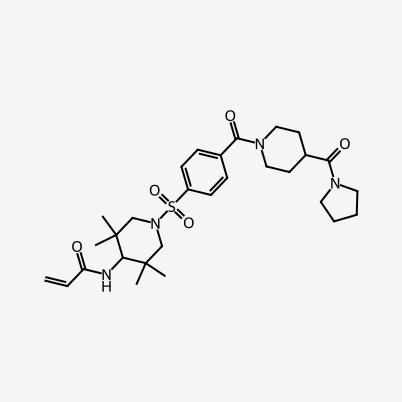 C=CC(=O)NC1C(C)(C)CN(S(=O)(=O)c2ccc(C(=O)N3CCC(C(=O)N4CCCC4)CC3)cc2)CC1(C)C